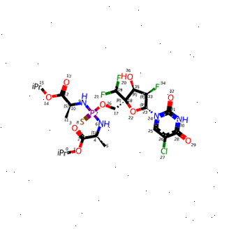 CC(C)OC(=O)[C@H](C)NP(=S)(N[C@@H](C)C(=O)OC(C)C)OC[C@@]1(C(F)F)O[C@@H](n2cc(Cl)c(=O)[nH]c2=O)[C@H](F)[C@@H]1O